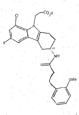 COc1ccccc1CCC(=O)N[C@H]1CCc2c(c3cc(F)cc(Cl)c3n2CC(=O)O)C1